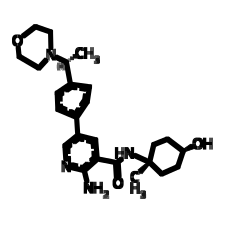 C[C@H](c1ccc(-c2cnc(N)c(C(=O)N[C@]3(C)CC[C@@H](O)CC3)c2)cc1)N1CCOCC1